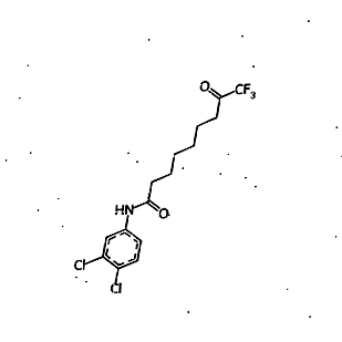 O=C(CCCCCCC(=O)C(F)(F)F)Nc1ccc(Cl)c(Cl)c1